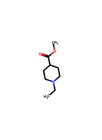 CCN1CCC(C(=O)OC)CC1